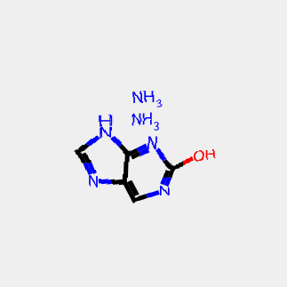 N.N.Oc1ncc2nc[nH]c2n1